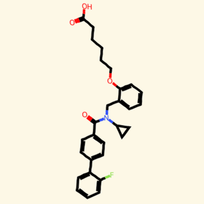 O=C(O)CCCCCOc1ccccc1CN(C(=O)c1ccc(-c2ccccc2F)cc1)C1CC1